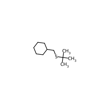 CC(C)(C)SCC1CCCCC1